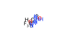 Cc1c(C(=O)N2CC3CC(C2)N3CC(F)(F)F)nnn1-c1nn2cccc2c(=O)[nH]1